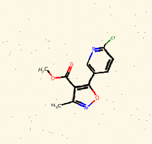 COC(=O)c1c(C)noc1-c1ccc(Cl)nc1